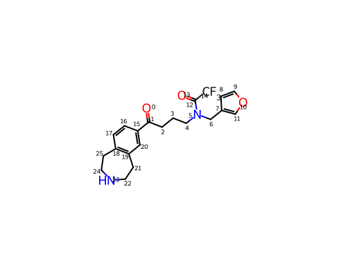 O=C(CCCN(Cc1ccoc1)C(=O)C(F)(F)F)c1ccc2c(c1)CCNCC2